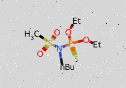 CCCCN(P(=S)(OCC)OCC)S(C)(=O)=O